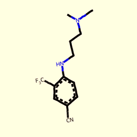 CN(C)CCCNc1ccc(C#N)cc1C(F)(F)F